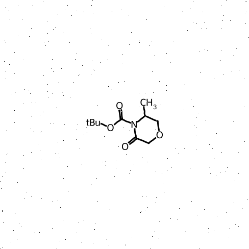 CC1COCC(=O)N1C(=O)OC(C)(C)C